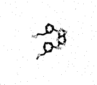 COCc1cccc(Nc2ncc3nnn(-c4cccc(CCO)c4)c3n2)c1